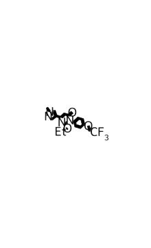 CCOc1nc(-c2cnn(C)c2)cc(=O)n1-c1ccc(OCC(F)(F)F)cc1